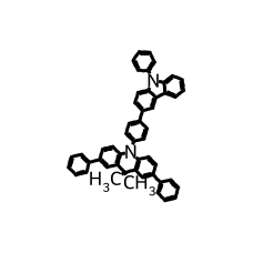 CC1(C)c2cc(-c3ccccc3)ccc2N(c2ccc(-c3ccc4c(c3)c3ccccc3n4-c3ccccc3)cc2)c2ccc(-c3ccccc3)cc21